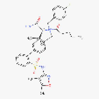 CCCCC(=O)[N+](Cc1ccc(F)cc1)(Cc1ccc(-c2ccccc2S(=O)(=O)Nc2noc(C)c2C)cc1)[C@H](C(N)=O)C(C)C